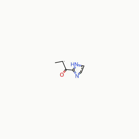 C[CH]C(=O)c1ncc[nH]1